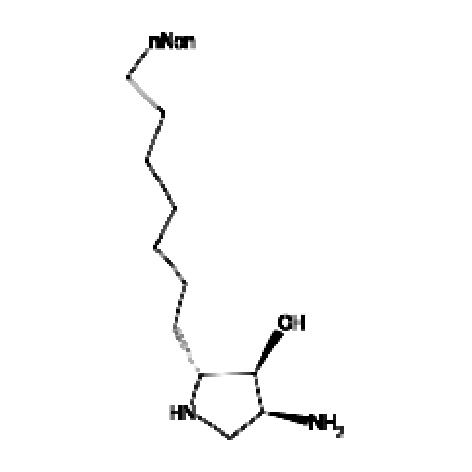 CCCCCCCCCCCCCCCC[C@H]1NC[C@H](N)[C@@H]1O